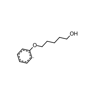 OCCCCCOc1[c]cccc1